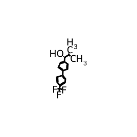 CC(C)[C@@H](O)c1ccc(-c2ccc(C(F)(F)F)cc2)cc1